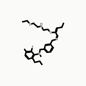 CC/C=C(\C=N/Cc1cccc(CN(C)c2c(CCC)ccc(C)c2F)c1)OCCNCCOCC